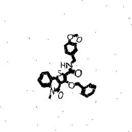 Cn1c(=O)c2c(OCc3ccccc3)c(C(=O)NCc3ccc4c(c3)OCO4)sc2c2ccccc21